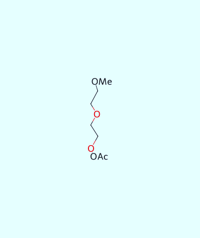 COCCOCCOOC(C)=O